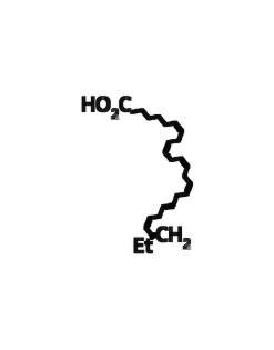 C=C(/C=C\C/C=C/C/C=C\C/C=C\C/C=C\C/C=C\CCCCCC(=O)O)CC